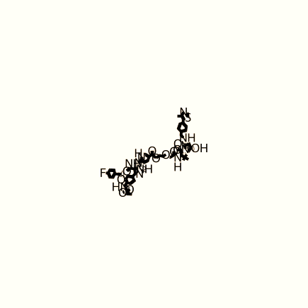 CCS(=O)(=O)Nc1ccc(-c2n[nH]c(Nc3ccc(C(=O)OCCOCC(=O)N[C@H](C(=O)N4C[C@H](O)C[C@H]4C(=O)NCc4ccc(-c5scnc5C)cc4)C(C)(C)C)cn3)c2C(N)=O)cc1O[C@@H](C)c1ccc(F)cc1